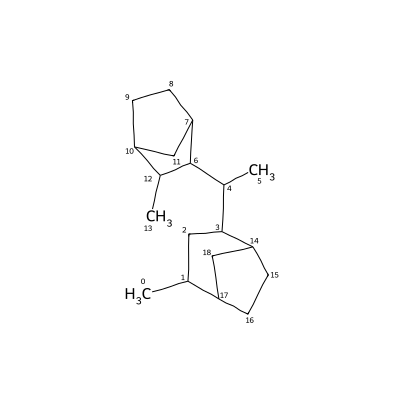 CC1CC(C(C)C2C3CCC(C3)C2C)C2CCC1C2